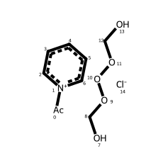 CC(=O)[n+]1ccccc1.OCOOOCO.[Cl-]